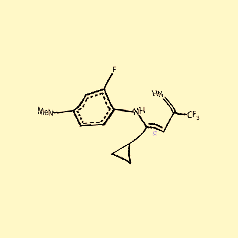 CNc1ccc(N/C(=C\C(=N)C(F)(F)F)C2CC2)c(F)c1